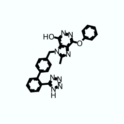 Cc1nc2c(Oc3ccccc3)nnc(O)c2n1Cc1ccc(-c2ccccc2-c2nnn[nH]2)cc1